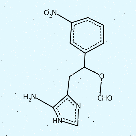 Nc1[nH]cnc1CC(OC=O)c1cccc([N+](=O)[O-])c1